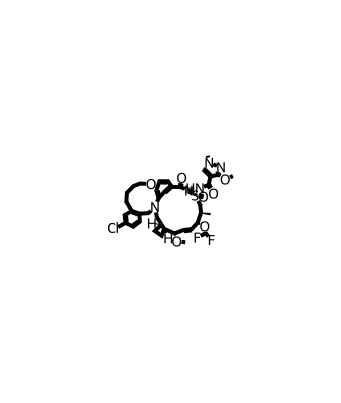 COc1nn(C)cc1C(=O)NS1(=O)=NC(=O)c2ccc3c(c2)N(Cc2ccc(Cl)cc2CCCCO3)C[C@@H]2CC[C@H]2[C@@H](OC)/C=C/[C@H](OC(F)F)[C@H](C)C1